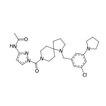 CC(=O)Nc1ccn(C(=O)N2CCC3(CCCN3Cc3cc(Cl)cc(N4CCCC4)c3)CC2)n1